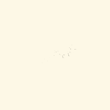 CCCCCCCCCCCC(=O)OC(=O)[C@@H]1CCCN1.[Na]